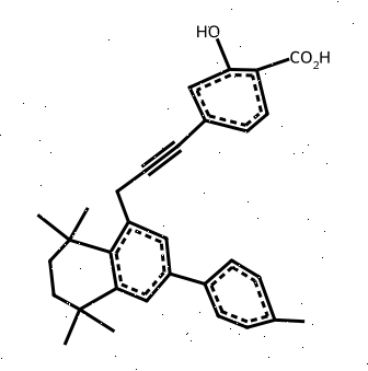 Cc1ccc(-c2cc(CC#Cc3ccc(C(=O)O)c(O)c3)c3c(c2)C(C)(C)CCC3(C)C)cc1